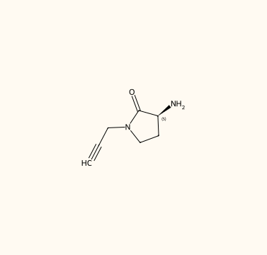 C#CCN1CC[C@H](N)C1=O